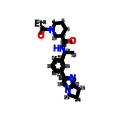 CCC(=O)N1CCCC(C(=O)NC(C)c2cccc(-c3cn4c(n3)CCC4)c2)C1